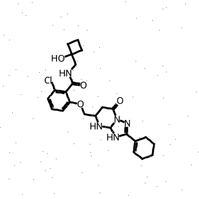 O=C(NCC1(O)CCC1)c1c(Cl)cccc1OCC1CC(=O)N2N=C(C3=CCCCC3)NC2N1